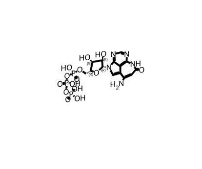 NC1=CC(=O)Nc2ncnc3c2c1cn3[C@@H]1O[C@H](COP(=O)(O)OP(=O)(O)OP(=O)(O)O)[C@@H](O)[C@H]1O